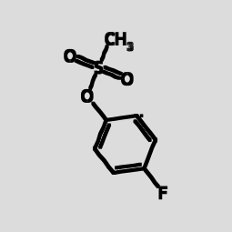 CS(=O)(=O)Oc1[c]cc(F)cc1